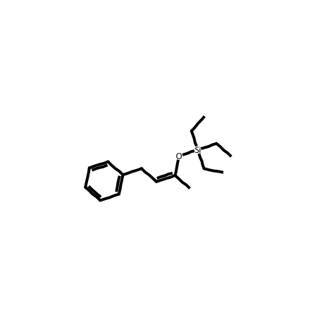 CC[Si](CC)(CC)OC(C)=CCc1ccccc1